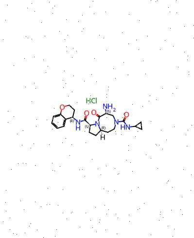 Cl.N[C@H]1CN(C(=O)NC2CC2)CC[C@H]2CC[C@@H](C(=O)N[C@@H]3CCOc4ccccc43)N2C1=O